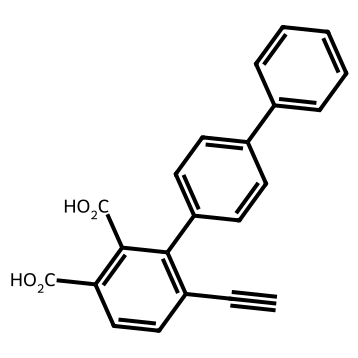 C#Cc1ccc(C(=O)O)c(C(=O)O)c1-c1ccc(-c2ccccc2)cc1